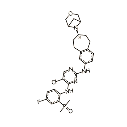 CP(C)(=O)c1cc(F)ccc1Nc1nc(Nc2ccc3c(c2)CC[C@@H](N2C4COCC2C4)CC3)ncc1Cl